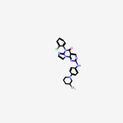 O=c1c2cnc(Nc3ccc(N4CCCC(C(F)(F)F)C4)cc3)nc2n2ccnc2n1-c1ccccc1Cl